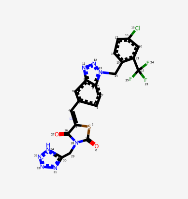 O=C1S/C(=C\c2ccc3c(c2)nnn3Cc2ccc(Cl)cc2C(F)(F)F)C(=O)N1Cc1nnn[nH]1